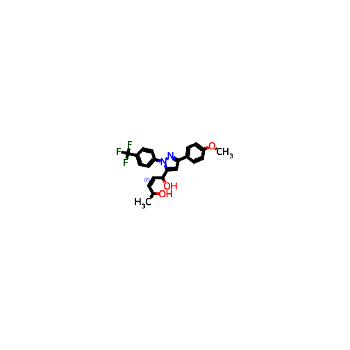 COc1ccc(-c2cc(C(O)/C=C\C(C)O)n(-c3ccc(C(F)(F)F)cc3)n2)cc1